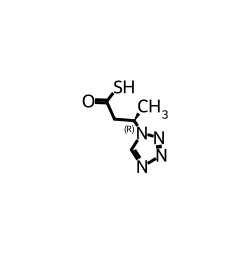 C[C@H](CC(=O)S)n1cnnn1